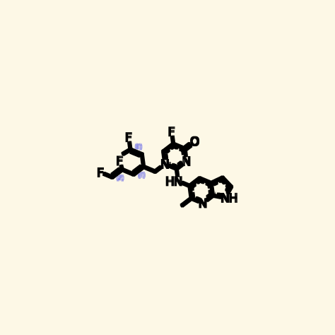 C\C(F)=C/C(=C\C(F)=C\F)Cn1cc(F)c(=O)nc1Nc1cc2cc[nH]c2nc1C